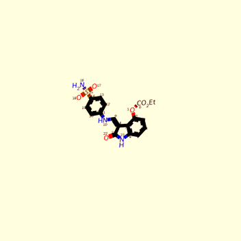 CCOC(=O)Oc1cccc2c1C(=CNc1ccc(S(N)(=O)=O)cc1)C(=O)N2